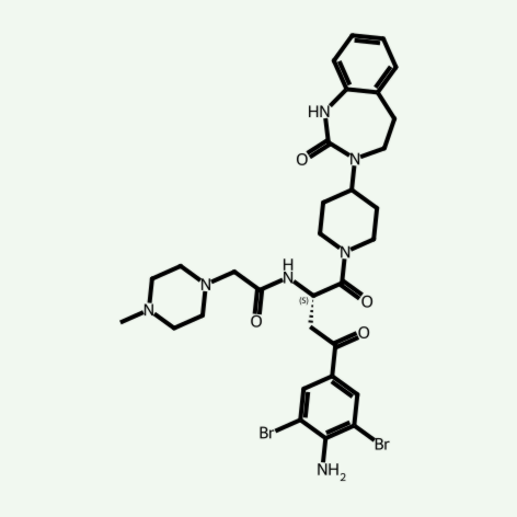 CN1CCN(CC(=O)N[C@@H](CC(=O)c2cc(Br)c(N)c(Br)c2)C(=O)N2CCC(N3CCc4ccccc4NC3=O)CC2)CC1